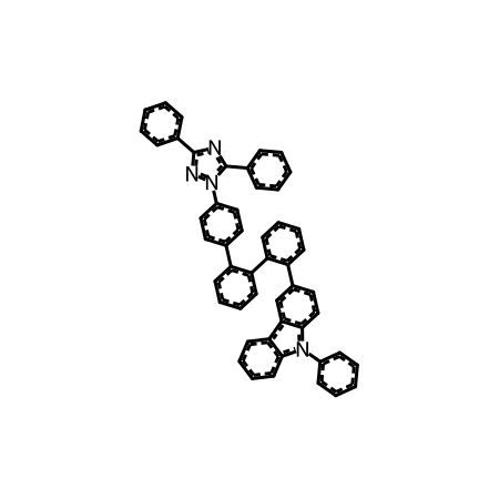 c1ccc(-c2nc(-c3ccccc3)n(-c3ccc(-c4ccccc4-c4ccccc4-c4ccc5c(c4)c4ccccc4n5-c4ccccc4)cc3)n2)cc1